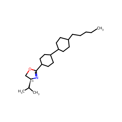 CCCCCC1CCC(C2CCC(C3=N[C@@H](C(C)C)CO3)CC2)CC1